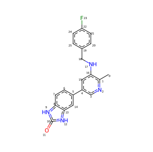 Cc1ncc(-c2ccc3[nH]c(=O)[nH]c3c2)cc1NCc1ccc(F)cc1